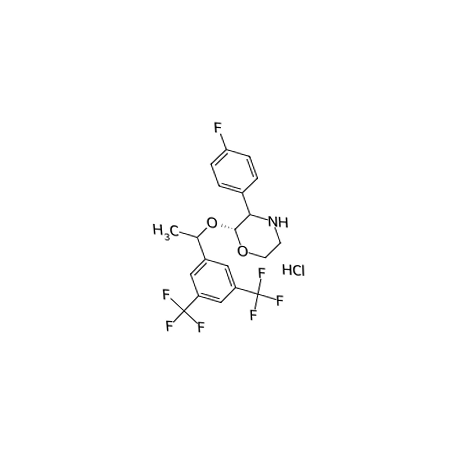 CC(O[C@H]1OCCNC1c1ccc(F)cc1)c1cc(C(F)(F)F)cc(C(F)(F)F)c1.Cl